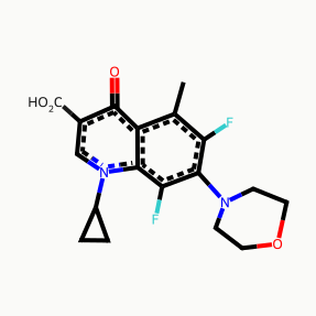 Cc1c(F)c(N2CCOCC2)c(F)c2c1c(=O)c(C(=O)O)cn2C1CC1